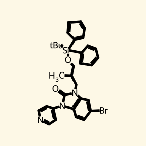 CC(CO[Si](c1ccccc1)(c1ccccc1)C(C)(C)C)Cn1c(=O)n(-c2ccncc2)c2ccc(Br)cc21